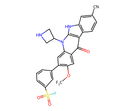 N#Cc1ccc2c(c1)[nH]c1c2c(=O)c2cc(OC(F)(F)F)c(-c3cccc(S(=O)(=O)F)c3)cc2n1C1CNC1